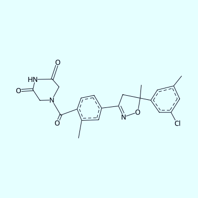 Cc1cc(Cl)cc(C2(C)CC(c3ccc(C(=O)N4CC(=O)NC(=O)C4)c(C)c3)=NO2)c1